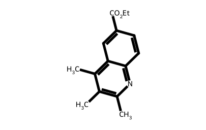 CCOC(=O)c1ccc2nc(C)c(C)c(C)c2c1